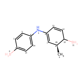 Bc1ccc(NC2=C[C@H](C)C(B)C=C2)cc1